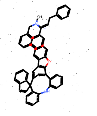 CN(Cc1cccc(-c2ccc3oc4c5cc(cc4c3c2)C2(c3ccccc3Nc3ccccc3-5)c3ccccc3-c3ccccc32)c1)/C(=C\Cc1ccccc1)c1ccccc1